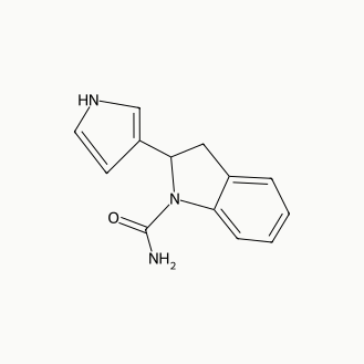 NC(=O)N1c2ccccc2CC1c1cc[nH]c1